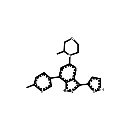 Cc1ccc(-c2cc(N3CCOCC3C)nc3c(-c4cc[nH]n4)n[nH]c23)cn1